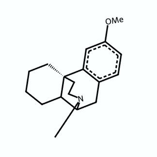 COc1ccc2c(c1)[C@]13CCCCC1C(C2)N(C)CC3